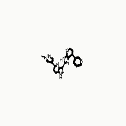 Cn1cc(-c2ccc3[nH]nc(-c4nc5c(-c6cccnc6)ccnc5[nH]4)c3n2)cn1